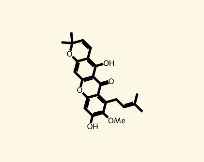 COc1c(O)cc2oc3cc4c(c(O)c3c(=O)c2c1CC=C(C)C)C=CC(C)(C)O4